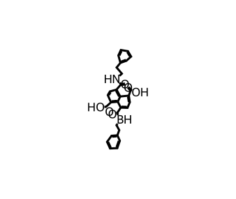 O=C(O)c1ccc(C(=O)NCCc2ccccc2)c2c(C(=O)O)ccc(C(=O)BCCc3ccccc3)c12